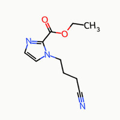 CCOC(=O)c1nccn1CCCC#N